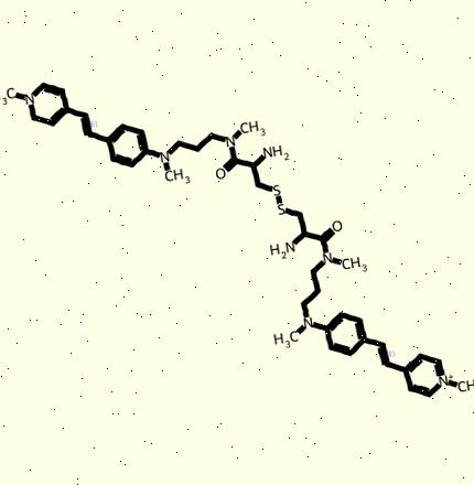 CN1C=CC(/C=C/c2ccc(N(C)CCCN(C)C(=O)C(N)CSSCC(N)C(=O)N(C)CCCN(C)c3ccc(/C=C/c4cc[n+](C)cc4)cc3)cc2)=CC1